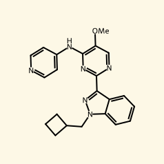 COc1cnc(-c2nn(CC3CCC3)c3ccccc23)nc1Nc1ccncc1